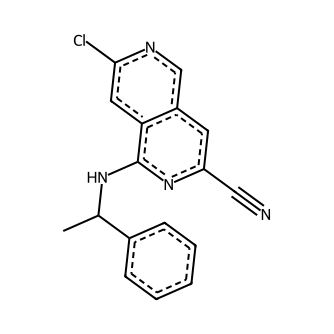 CC(Nc1nc(C#N)cc2cnc(Cl)cc12)c1ccccc1